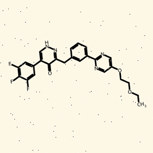 CCOCCOc1cnc(-c2cccc(Cc3n[nH]cc(-c4cc(F)c(F)c(F)c4)c3=O)c2)nc1